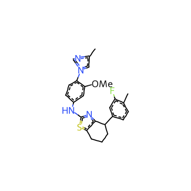 COc1cc(Nc2nc3c(s2)CCCC3c2ccc(C)c(F)c2)ccc1-n1cnc(C)c1